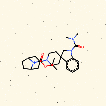 CC(C)OC(=O)N1C2CCC1CC(N1CCC3(CC1)CN(C(=O)N(C)C)c1ccccc13)C2